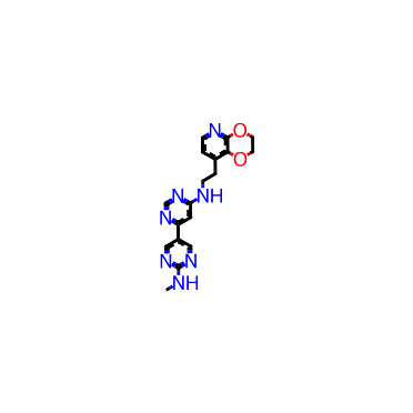 CNc1ncc(-c2cc(NCCc3ccnc4c3OCCO4)ncn2)cn1